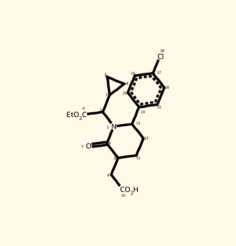 CCOC(=O)C(C1CC1)N1C(=O)C(CC(=O)O)CCC1c1ccc(Cl)cc1